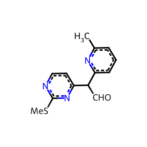 CSc1nccc(C(C=O)c2cccc(C)n2)n1